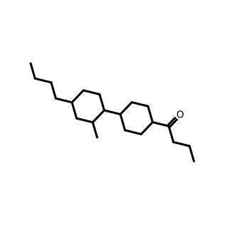 CCCCC1CCC(C2CCC(C(=O)CCC)CC2)C(C)C1